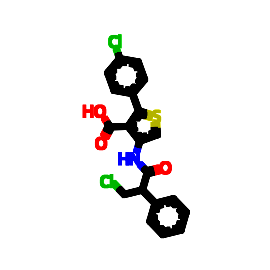 O=C(O)c1c(NC(=O)C(CCl)c2ccccc2)csc1-c1ccc(Cl)cc1